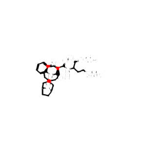 COC(=O)C(CCSC)NC(=O)c1nc2ccccc2n(C2CC3CCC(C2)N3C2CCCCCCC2)c1=O